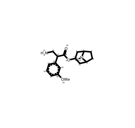 CCN1C2CCC1CC(OC(=O)C(CN)c1cccc(OC)c1)C2